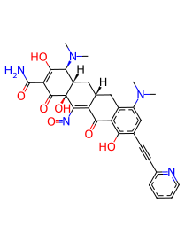 CN(C)c1cc(C#Cc2ccccn2)c(O)c2c1C[C@H]1C[C@H]3[C@H](N(C)C)C(O)=C(C(N)=O)C(=O)[C@@]3(O)C(N=O)=C1C2=O